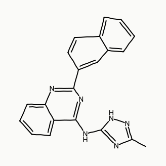 Cc1n[nH]c(Nc2nc(-c3ccc4ccccc4c3)nc3ccccc23)n1